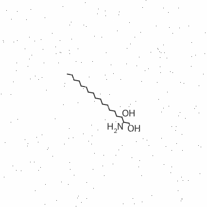 CCCCCCCCCCCCCCC[C@@H](O)[C@H](N)CO